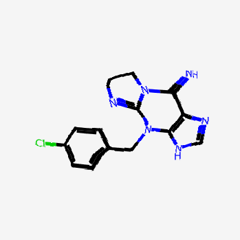 N=C1c2nc[nH]c2N(Cc2ccc(Cl)cc2)C2=NCCN12